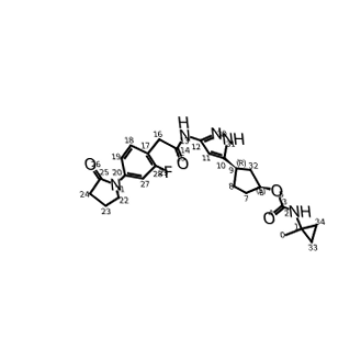 CC1(NC(=O)O[C@H]2CC[C@@H](c3cc(NC(=O)Cc4ccc(N5CCCC5=O)cc4F)n[nH]3)C2)CC1